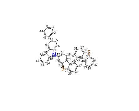 c1ccc(-c2ccc3c(c2)c2ccccc2n3-c2ccc3c(c2)sc2cccc(-c4cccc5sc6ccccc6c45)c23)cc1